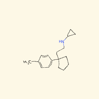 Cc1ccc(C2(CCNC3CC3)CCCC2)cc1